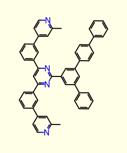 Cc1cc(-c2cccc(-c3cc(-c4cccc(-c5ccnc(C)c5)c4)nc(-c4cc(-c5ccccc5)cc(-c5ccc(-c6ccccc6)cc5)c4)n3)c2)ccn1